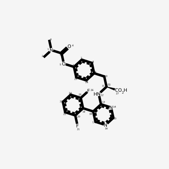 CN(C)C(=O)Oc1ccc(C[C@H](Nc2ncncc2-c2c(F)cccc2F)C(=O)O)cc1